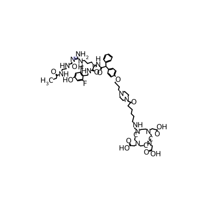 CCC(=O)NCCNC(=O)/N=C(/N)NCCC[C@@H](NC(=O)C(c1ccccc1)c1ccc(OCCCN2CCN(C(=O)CCCCCNCN3CCN(CC(=O)O)CCN(CC(=O)O)CCN(CC(=O)O)CC3)CC2)cc1)C(=O)NCc1c(F)cc(O)cc1F